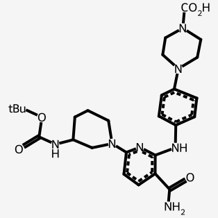 CC(C)(C)OC(=O)NC1CCCN(c2ccc(C(N)=O)c(Nc3ccc(N4CCN(C(=O)O)CC4)cc3)n2)C1